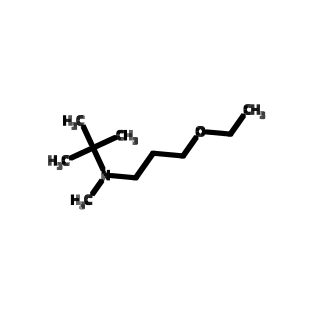 CCOCCCN(C)C(C)(C)C